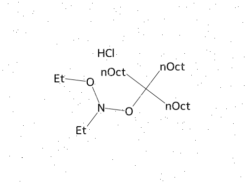 CCCCCCCCC(CCCCCCCC)(CCCCCCCC)ON(CC)OCC.Cl